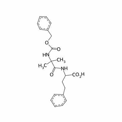 CC(C)(NC(=O)OCc1ccccc1)C(=O)NC(CCc1ccccc1)C(=O)O